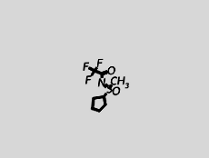 CS(=O)(=NC(=O)C(F)(F)F)C1CCCC1